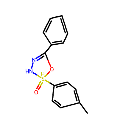 Cc1ccc([SH]2(=O)NN=C(c3ccccc3)O2)cc1